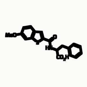 COc1ccc2cc(C(=O)NC(Cc3ccccc3)C(=O)O)sc2c1